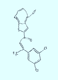 O=C(C=C(c1cc(Cl)cc(Cl)c1)C(F)(F)F)c1cc2c(Cl)cccc2s1